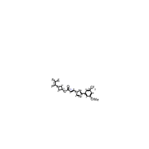 COc1cc(-c2ncn(/C=C/C(=O)OC3CN(C(F)C(F)F)C3)n2)cc(C(F)(F)F)c1